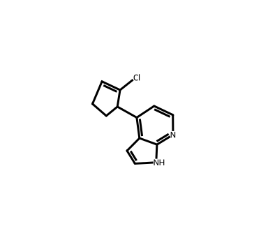 ClC1=CCCC1c1ccnc2[nH]ccc12